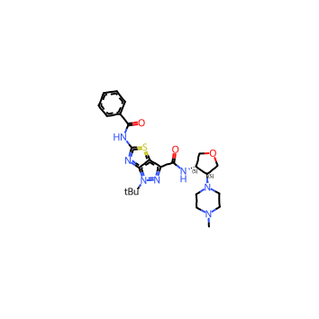 CN1CCN([C@@H]2COC[C@H]2NC(=O)c2nn(C(C)(C)C)c3nc(NC(=O)c4ccccc4)sc23)CC1